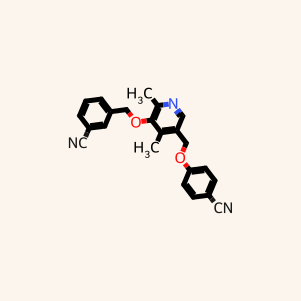 Cc1ncc(COc2ccc(C#N)cc2)c(C)c1OCc1cccc(C#N)c1